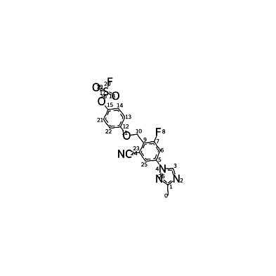 Cc1ncn(-c2cc(F)c(COc3ccc(OS(=O)(=O)F)cc3)c(C#N)c2)n1